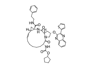 O=C(N[C@@H]1CCCCC/C=C\[C@@H]2C[C@]2(C(=O)NCCc2ccccc2)NC(=O)[C@@H]2C[C@H](Oc3nc4ccccc4nc3-c3cccs3)CN2C1=O)OC1CCCC1